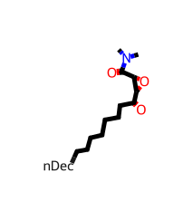 CCCCCCCCCCCCCCCCCC(=O)C1OC1C(=O)N(C)C